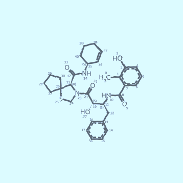 Cc1c(O)cccc1C(=O)N[C@@H](Cc1ccccc1)[C@H](O)C(=O)N1CSC2(CCCC2)[C@H]1C(=O)N[C@@H]1C=CCCC1